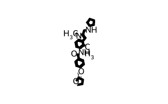 Cc1c(NC(=O)c2ccc(OC[C@@H]3CCCO3)cc2)ccc2c1cc(CNC1CCCC1)n2C